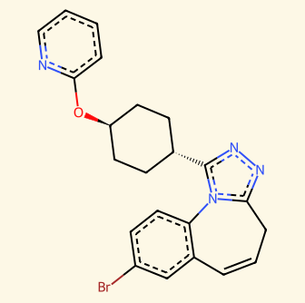 Brc1ccc2c(c1)C=CCc1nnc([C@H]3CC[C@H](Oc4ccccn4)CC3)n1-2